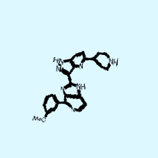 COc1cccc(-c2nccc3[nH]c(-c4n[nH]c5ccc(C6=CCNCC6)nc45)nc23)c1